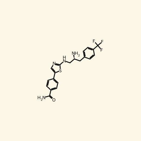 NC(=O)c1ccc(-c2cnc(NC[C@@H](N)Cc3ccc(C(F)(F)F)cc3)s2)cc1